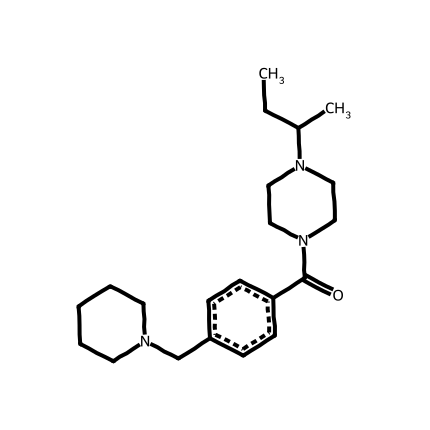 CCC(C)N1CCN(C(=O)c2ccc(CN3CCCCC3)cc2)CC1